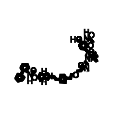 CN(CCNC[C@H](O[Si](C)(C)C(C)(C)C)c1ccc(O)c2c1OCC(=O)N2)C(=O)CCOCCc1ccc(CCN2C[C@H]3C[C@H](OC(=O)Nc4ccccc4-c4ccccc4)C[C@H]3C2)cc1